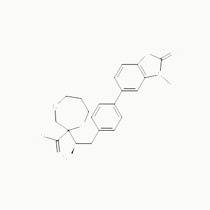 Cn1c(=O)sc2ccc(-c3ccc(C[C@@H](C#N)C4(C(N)=O)CNCCCO4)cc3)cc21